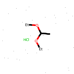 CCOC(C)OCC.Cl